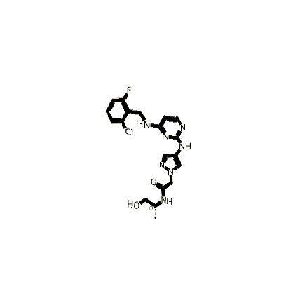 C[C@H](CO)NC(=O)Cn1cc(Nc2nccc(NCc3c(F)cccc3Cl)n2)cn1